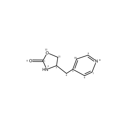 O=C1NC(Cc2ccncc2)CO1